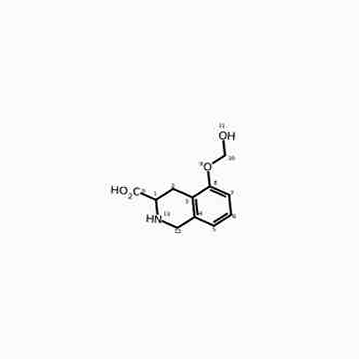 O=C(O)C1Cc2c(cccc2OCO)CN1